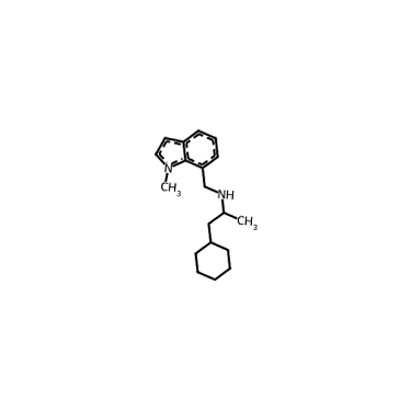 CC(CC1CCCCC1)NCc1cccc2ccn(C)c12